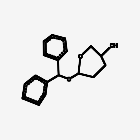 OC1CCC(OC(c2ccccc2)c2ccccc2)OC1